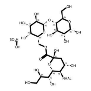 CC(=O)N[C@H]1[C@H]([C@H](O)[C@H](O)CO)O[C@](O)(C(=O)OC[C@H]2O[C@@H](O[C@H]3[C@H](O)[C@@H](O)[C@@H](O)O[C@@H]3CO)[C@H](O)[C@@H](O)[C@H]2O)C[C@@H]1O.O=S(=O)(O)O